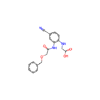 N#Cc1ccc(NCC(=O)O)c(NC(=O)COCc2ccccc2)c1